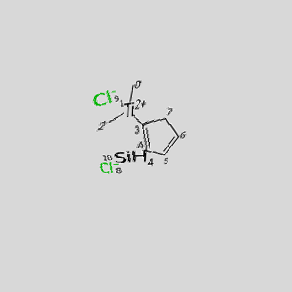 [CH3][Ti+2]([CH3])[C]1=CC=CC1.[Cl-].[Cl-].[SiH4]